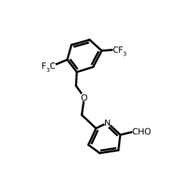 O=Cc1cccc(COCc2cc(C(F)(F)F)ccc2C(F)(F)F)n1